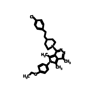 CCOc1ccc(-n2c(C)c3c(C)nnc(N4CCC(CCc5ccc(Cl)cc5)CC4)c3c2C)cc1